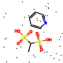 CC(S(=O)(=O)O)S(=O)(=O)O.c1ccncc1